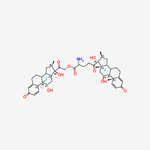 C[C@@H]1CC2C3CCC4=CC(=O)C=C[C@]4(C)[C@@]3(F)[C@@H](O)C[C@]2(C)[C@@]1(O)C(=O)COC(=O)C(N)C[CH]C(=O)[C@@]1(O)[C@@H](C)CC2C3CCC4=CC(=O)C=C[C@]4(C)[C@@]3(F)[C@@H](O)C[C@@]21C